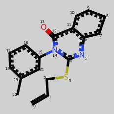 C=CCSc1nc2ccccc2c(=O)n1-c1cccc(C)c1